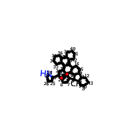 CC1(c2ccccc2)c2ccccc2-c2ccc3c(c21)c1ccc(-c2ccc[nH]2)cc1c1c2ccccc2c2ccccc2c31